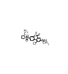 CNc1cc(Cl)c(-c2ccc(S(=O)(=O)N3CCC[C@H]3C)cc2)c(C(F)(F)F)c1